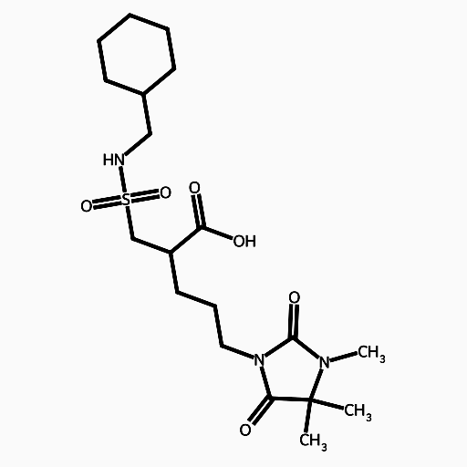 CN1C(=O)N(CCCC(CS(=O)(=O)NCC2CCCCC2)C(=O)O)C(=O)C1(C)C